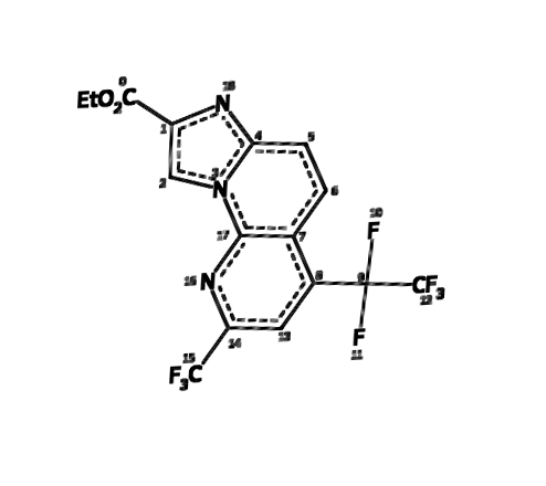 CCOC(=O)c1cn2c(ccc3c(C(F)(F)C(F)(F)F)cc(C(F)(F)F)nc32)n1